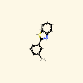 Cc1[c]ccc(-c2nc3ccccc3s2)c1